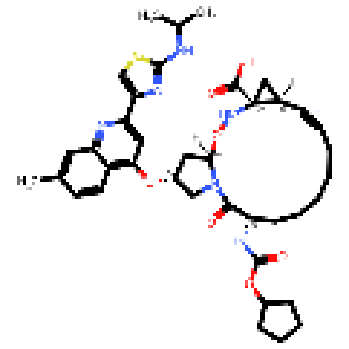 Cc1ccc2c(O[C@@H]3C[C@H]4ON[C@]5(C(=O)O)C[C@H]5/C=C\CCCCC[C@H](NC(=O)OC5CCCC5)C(=O)N4C3)cc(-c3csc(NC(C)C)n3)nc2c1